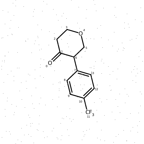 O=C1CCOCC1c1ccc(C(F)(F)F)cc1